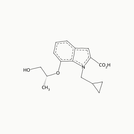 C[C@H](CO)Oc1cccc2cc(C(=O)O)n(CC3CC3)c12